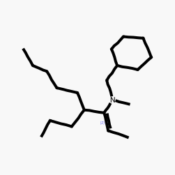 C/C=C(/C(CCC)CCCCC)N(C)CC1CCCCC1